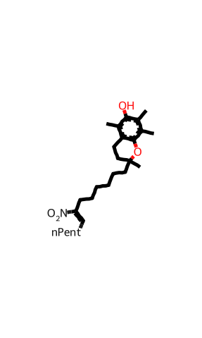 CCCCCC=C(CCCCCCC1(C)CCc2c(C)c(O)c(C)c(C)c2O1)[N+](=O)[O-]